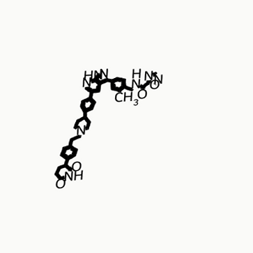 Cc1cc(-c2n[nH]c3ncc(-c4ccc(C5CCN(CCc6ccc(C7CCC(=O)NC7=O)cc6)CC5)cc4)cc23)ccc1CNC(=O)c1ncno1